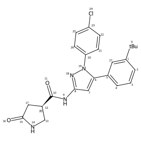 CC(C)(C)c1cccc(-c2cc(NC(=O)[C@H]3CNC(=O)C3)nn2-c2ccc(Cl)cc2)c1